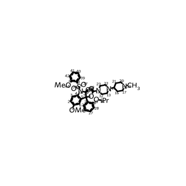 COc1ccc2c(c1)C(OC(=O)N1CCN(C3CCN(C)CC3)CC1)(c1ccccc1OC(C)C)C(=O)N2S(=O)(=O)c1ccccc1OC